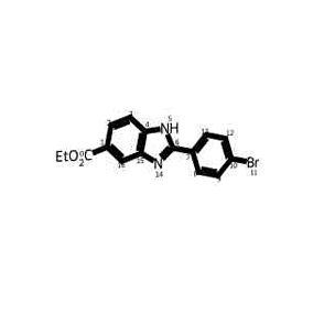 CCOC(=O)c1ccc2[nH]c(-c3ccc(Br)cc3)nc2c1